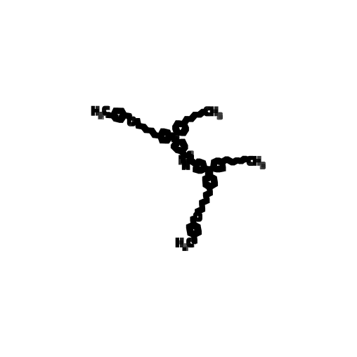 C=Cc1ccc(COCCCCCCc2ccc(N(c3ccc(CCCCCC)cc3)c3ccc(-c4nnc(-c5ccc(N(c6ccc(CCCCCC)cc6)c6ccc(CCCCCCOCc7ccc(C=C)cc7)cc6)cc5)s4)cc3)cc2)cc1